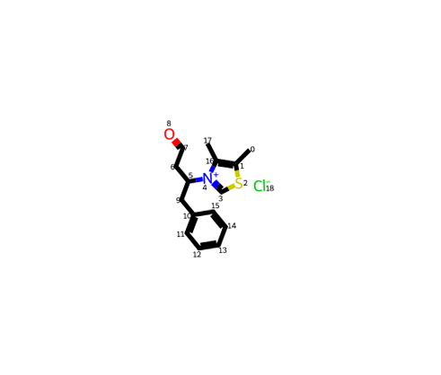 Cc1sc[n+](C(CC=O)Cc2ccccc2)c1C.[Cl-]